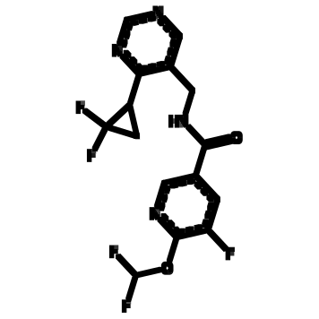 O=C(NCc1cncnc1C1CC1(F)F)c1cnc(OC(F)F)c(F)c1